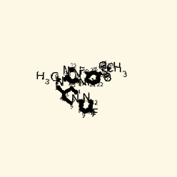 CN(CC1CCN(c2ccc(F)cn2)CC1)c1cc(Nc2ccc(S(C)(=O)=O)cc2F)ncn1